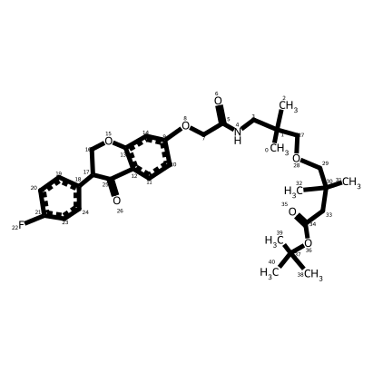 CC(C)(CNC(=O)COc1ccc2c(c1)OCC(c1ccc(F)cc1)C2=O)COCC(C)(C)CC(=O)OC(C)(C)C